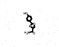 NC(=O)c1coc(-c2ccc(O)cc2)n1